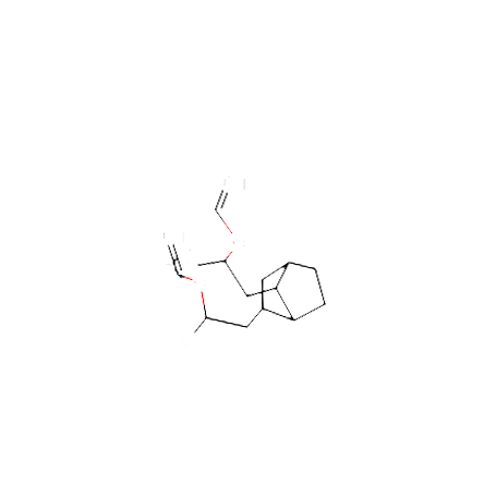 C=COC(C)CC1CC2CCC1C2CC(C)OC=C